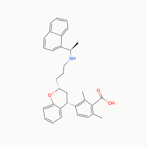 Cc1ccc([C@H]2C[C@@H](CCCN[C@H](C)c3cccc4ccccc34)Oc3ccccc32)c(C)c1C(=O)O